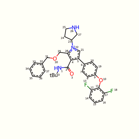 CC(C)(C)NC(=O)c1c(-c2ccc(Oc3c(F)cccc3F)cc2)cn(C2CCNC2)c1COCc1ccccc1